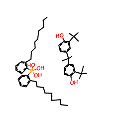 CC(C)(C)c1cc(C(C)(C)c2ccc(O)c(C(C)(C)C)c2)ccc1O.CCCCCCCCCc1ccccc1P(O)(O)(O)c1ccccc1CCCCCCCCC